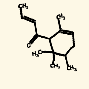 CC=CC(=O)C1C(C)=CCC(C)C1(C)C